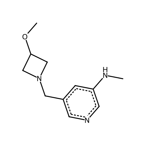 CNc1cncc(CN2CC(OC)C2)c1